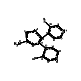 Nc1cnc(-c2ccncc2F)c(-c2ccncc2F)c1